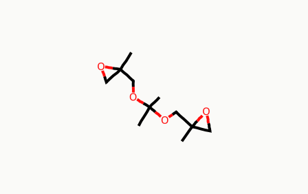 CC1(COC(C)(C)OCC2(C)CO2)CO1